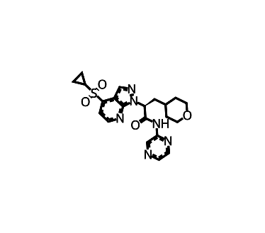 O=C(Nc1cnccn1)[C@H](CC1CCOCC1)n1ncc2c(S(=O)(=O)C3CC3)ccnc21